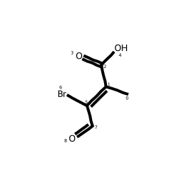 C/C(C(=O)O)=C(/Br)C=O